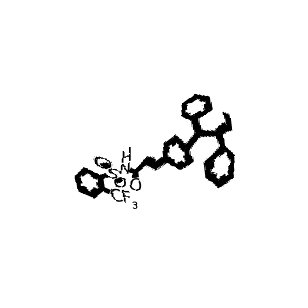 CC=C(c1ccccc1)C(c1ccccc1)c1ccc(C=CC(=O)NS(=O)(=O)c2ccccc2C(F)(F)F)cc1